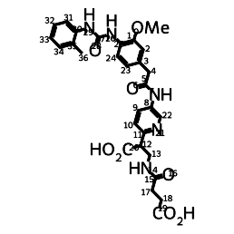 COc1cc(CC(=O)Nc2ccc(C(CNC(=O)CCC(=O)O)C(=O)O)nc2)ccc1NC(=O)Nc1ccccc1C